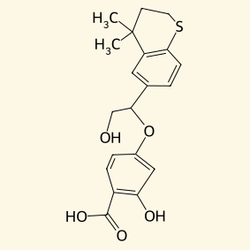 CC1(C)CCSc2ccc(C(CO)Oc3ccc(C(=O)O)c(O)c3)cc21